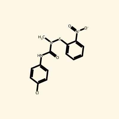 CN(Sc1ccccc1[N+](=O)[O-])C(=O)Nc1ccc(Cl)cc1